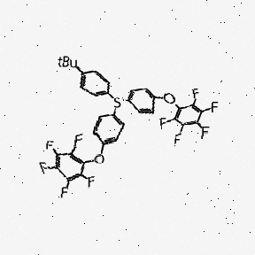 CC(C)(C)c1ccc([S+](c2ccc(Oc3c(F)c(F)c(F)c(F)c3F)cc2)c2ccc(Oc3c(F)c(F)c(F)c(F)c3F)cc2)cc1